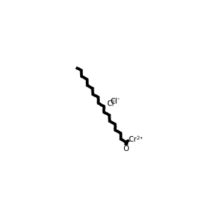 CCCCCCCCCCCCCCCCC[C](=O)[Cr+2].[Cl-].[Cl-]